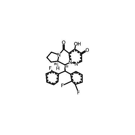 O=C1c2c(O)c(=O)cnn2[C@@H](C(c2ccccc2F)c2cccc(F)c2F)[C@H]2CCCN12